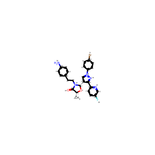 C[C@H]1O[C@@H](c2cn(-c3ccc(Br)cc3)nc2-c2ccc(F)cn2)N(CCc2ccc(N)cc2)C1=O